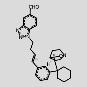 O=Cc1ccc2c(c1)nnn2CC/C=C/c1cccc(C2([C@@H]3CN4CCC3CC4)CCCCC2)c1